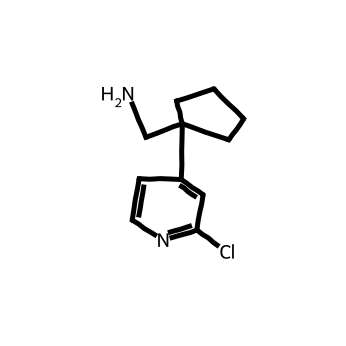 NCC1(c2ccnc(Cl)c2)CCCC1